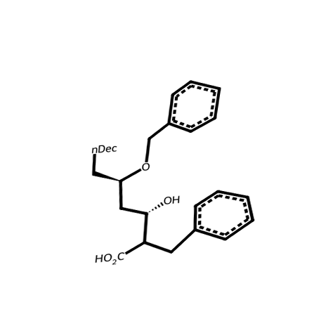 CCCCCCCCCCC[C@H](C[C@H](O)C(Cc1ccccc1)C(=O)O)OCc1ccccc1